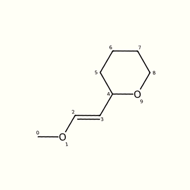 COC=CC1CCCCO1